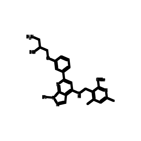 COc1nc(C)cc(C)c1CNc1cc(-c2cccc(OCC(O)CN)c2)nc2c1cnn2C(C)C